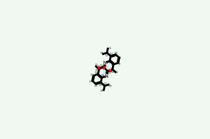 CC(=N/c1c(C(C)C)cccc1C(C)C)/C(C)=N\c1c(C(C)C)cccc1C(C)C